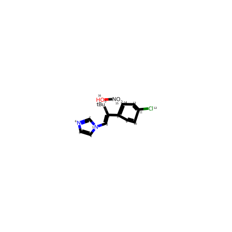 CC(C)(C)C(=Cn1ccnc1)c1ccc(Cl)cc1.O=[N+]([O-])O